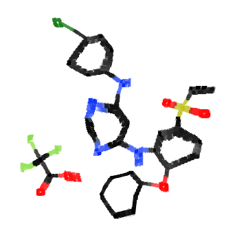 CNS(=O)(=O)c1ccc(OC2CCCCC2)c(Nc2cc(Nc3ccc(Cl)cc3)ncn2)c1.O=C(O)C(F)(F)F